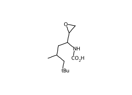 CC(CC(NC(=O)O)C1CO1)CC(C)(C)C